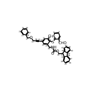 O=Cc1cccnc1Sc1c(Cl)cc(C#CCOCc2ccccc2)cc1CNC(=O)OCC1c2ccccc2-c2ccccc21